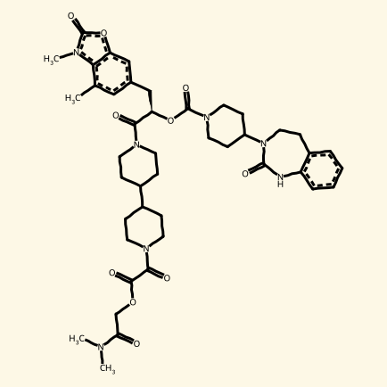 Cc1cc(C[C@@H](OC(=O)N2CCC(N3CCc4ccccc4NC3=O)CC2)C(=O)N2CCC(C3CCN(C(=O)C(=O)OCC(=O)N(C)C)CC3)CC2)cc2oc(=O)n(C)c12